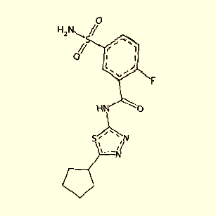 NS(=O)(=O)c1ccc(F)c(C(=O)Nc2nnc(C3CCCC3)s2)c1